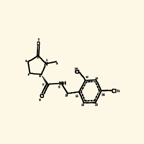 CN1C(=O)CC[C@H]1C(=O)NCc1ccc(Cl)cc1Cl